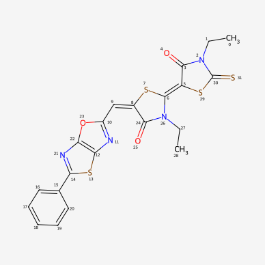 CCN1C(=O)/C(=c2\s/c(=C/c3nc4sc(-c5ccccc5)nc4o3)c(=O)n2CC)SC1=S